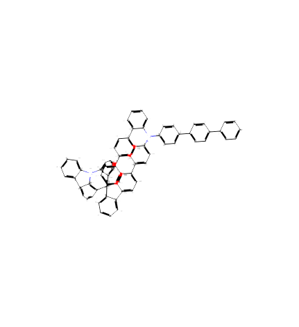 c1ccc(-c2ccc(-c3ccc(N(c4ccc(-c5ccc6c(c5)C5(c7ccccc7-6)c6ccccc6-n6c7ccccc7c7cccc5c76)cc4)c4ccccc4-c4ccc(-c5ccccc5)cc4)cc3)cc2)cc1